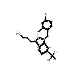 Cc1cc(Cl)ccc1Cn1nc(CCCO)c2ccc(C(F)(F)F)cc21